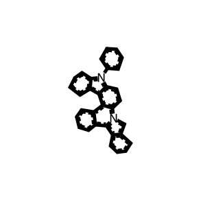 c1ccc(-n2c3ccccc3c3c4c5ccccc5c5c6ccccc6cn5c4ccc32)cc1